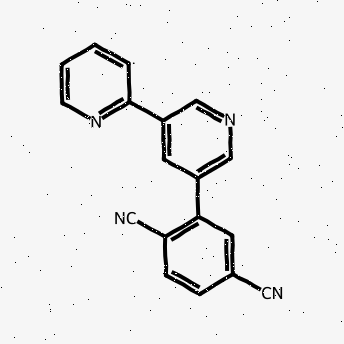 N#Cc1ccc(C#N)c(-c2cncc(-c3[c]cccn3)c2)c1